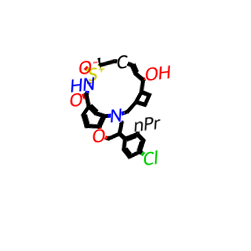 CCCc1cc(Cl)ccc1C1COc2ccc3cc2N(C1)CC1CCC1C(O)/C=C/CC[C@H](C)[S+]([O-])NC3=O